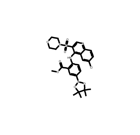 COC(=O)c1cc(B2OC(C)(C)C(C)(C)O2)ccc1Nc1c(S(=O)(=O)N2CCOCC2)cnc2ccc(Cl)cc12